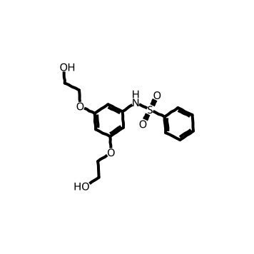 O=S(=O)(Nc1cc(OCCO)cc(OCCO)c1)c1ccccc1